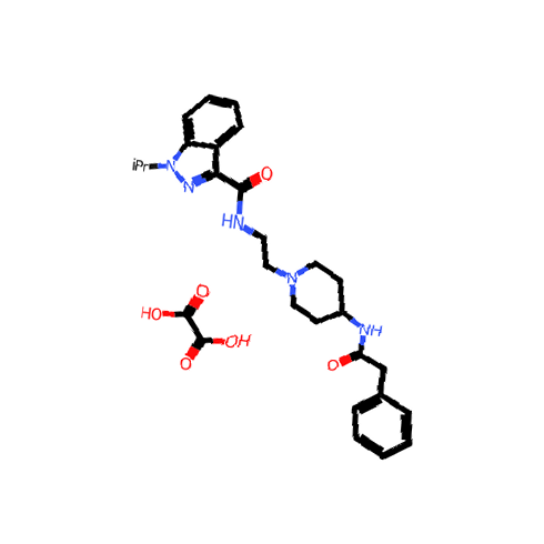 CC(C)n1nc(C(=O)NCCN2CCC(NC(=O)Cc3ccccc3)CC2)c2ccccc21.O=C(O)C(=O)O